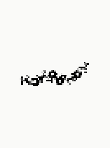 CN(C)C(=O)CN1CCc2nc(C(=O)N3CCc4c(-c5cccc6c5CCN6C(=O)c5nc6c(s5)CN(CC(=O)N(C)C)CC6)cccc43)sc2C1